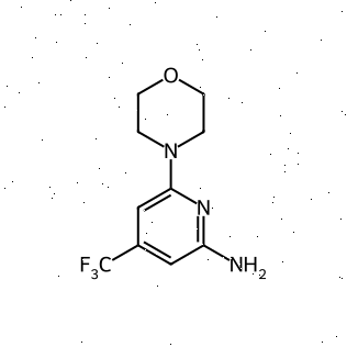 Nc1cc(C(F)(F)F)cc(N2CCOCC2)n1